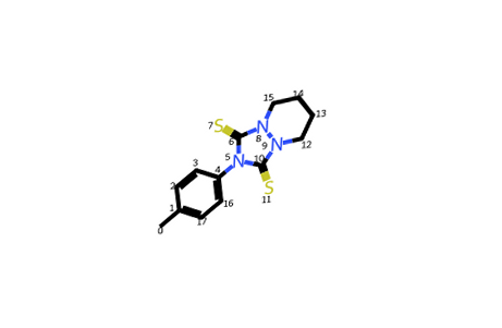 Cc1ccc(-n2c(=S)n3n(c2=S)CCCC3)cc1